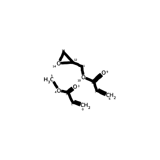 C=CC(=O)OC.C=CC(=O)OCC1CO1